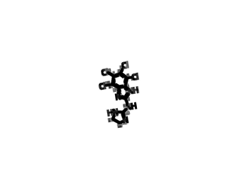 Clc1c(Cl)c(Cl)c2[nH]c(NC3=NCCN3)nc2c1Cl